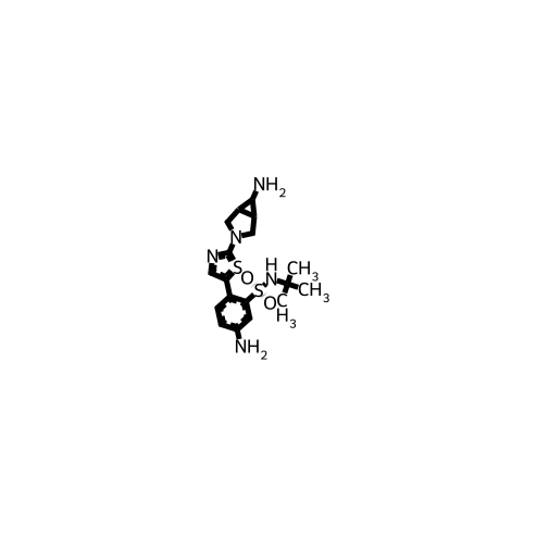 CC(C)(C)NS(=O)(=O)c1cc(N)ccc1-c1cnc(N2CC3C(N)C3C2)s1